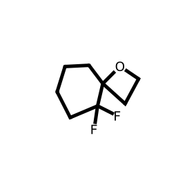 FC1(F)CCCCC12CCO2